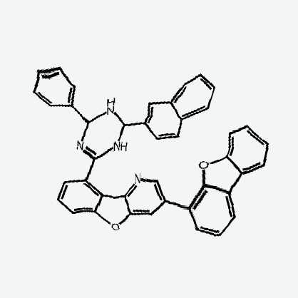 c1ccc(C2N=C(c3cccc4oc5cc(-c6cccc7c6oc6ccccc67)cnc5c34)NC(c3ccc4ccccc4c3)N2)cc1